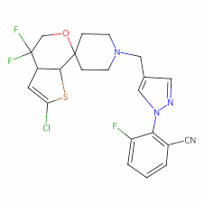 N#Cc1cccc(F)c1-n1cc(CN2CCC3(CC2)OCC(F)(F)C2C=C(Cl)SC23)cn1